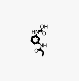 CCC(=O)Nc1cccc(NC(=O)O)c1